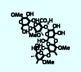 CO[C@H]1O[C@H](CO)[C@@H](O[C@@H]2O[C@@H](C(=O)O)[C@@H](O[C@H]3O[C@H](CO)[C@@H](O[C@@H]4O[C@H](C(=O)O)[C@@H](O[C@H]5O[C@H](CO)[C@@H](C)[C@H](C)[C@H]5OC)[C@H](C)[C@H]4OC)[C@H](O)[C@H]3O)[C@H](C)[C@H]2OC)[C@H](O)[C@H]1O